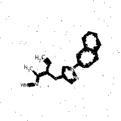 C=C/C(Cc1cnn(-c2ccc3ccccc3c2)c1)=C(\C)N=N